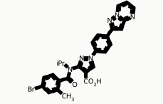 Cc1cc(Br)ccc1C(=O)N(c1nn(-c2ccc(-c3cc4ncccn4n3)cc2)cc1C(=O)O)C(C)C